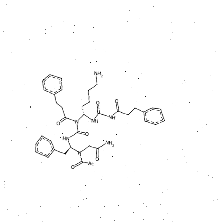 CC(=O)C(=O)N(CC(N)=O)[C@@H](Cc1ccccc1)NC(=O)N(C(=O)CCc1ccccc1)[C@H](CCCCN)NC(=O)NC(=O)CCc1ccccc1